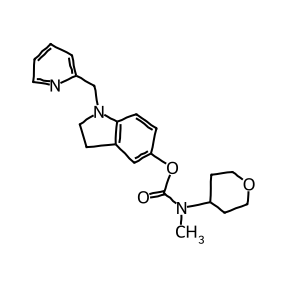 CN(C(=O)Oc1ccc2c(c1)CCN2Cc1ccccn1)C1CCOCC1